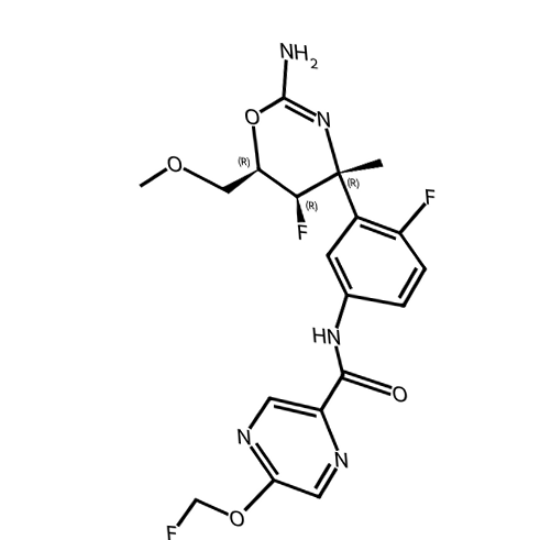 COC[C@H]1OC(N)=N[C@](C)(c2cc(NC(=O)c3cnc(OCF)cn3)ccc2F)[C@H]1F